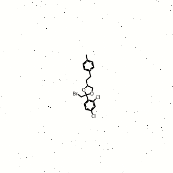 Cc1ccc(CCC2COC(CBr)(c3ccc(Cl)cc3Cl)O2)cc1